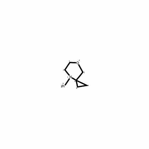 CC(C)N1CCOCC12CC2